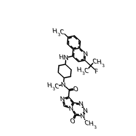 Cc1ccc2nc(C(C)(C)F)cc(NC3CCC(N(C)C(=O)c4ncn5c(=O)n(C)nnc45)CC3)c2c1